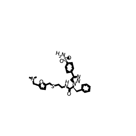 CN(C)Cc1ccc(CSCCNC(=O)[C@H](Cc2ccccc2)n2cc(-c3ccc(S(N)(=O)=O)cc3)nn2)o1